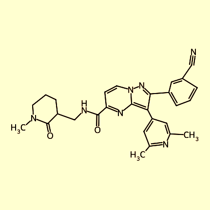 Cc1cc(-c2c(-c3cccc(C#N)c3)nn3ccc(C(=O)NCC4CCCN(C)C4=O)nc23)cc(C)n1